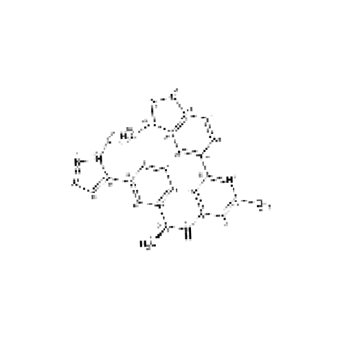 Cc1nc(N[C@@H](C)c2cccc(-c3ccnn3C)c2)cc(-c2ccc3occ(C)c3c2)n1